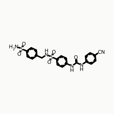 N#Cc1ccc(NC(=O)Nc2ccc(S(=O)(=O)NCc3ccc(S(N)(=O)=O)cc3)cc2)cc1